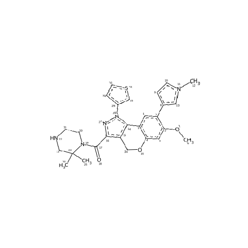 COc1cc2c(cc1-c1ccn(C)c1)-c1c(c(C(=O)N3CCNCC3(C)C)nn1-c1ccsc1)CO2